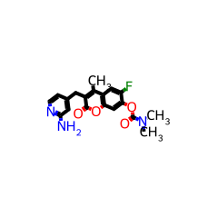 Cc1c(Cc2ccnc(N)c2)c(=O)oc2cc(OC(=O)N(C)C)c(F)cc12